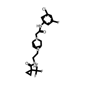 O=C(CN1CC2CC1CN2CCNC(=O)C1(C(F)(F)F)CC1)Nc1cc(F)cc(Cl)c1